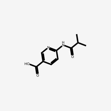 CC(C)C(=O)Nc1ccc(C(=O)O)cn1